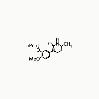 CCCCCOc1cc(N2CCC(C)NC2=O)ccc1OC